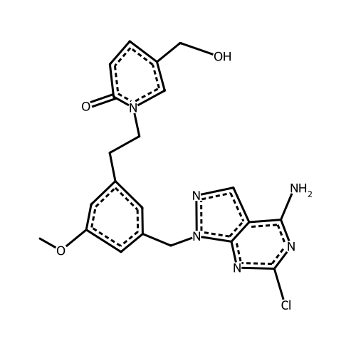 COc1cc(CCn2cc(CO)ccc2=O)cc(Cn2ncc3c(N)nc(Cl)nc32)c1